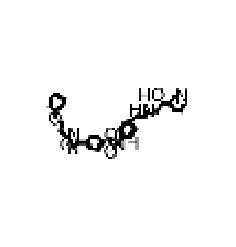 O=S(=O)(Nc1ccc(CCNCC(O)c2cccnc2)cc1)c1ccc(-c2noc(CCOc3ccccc3)n2)cc1